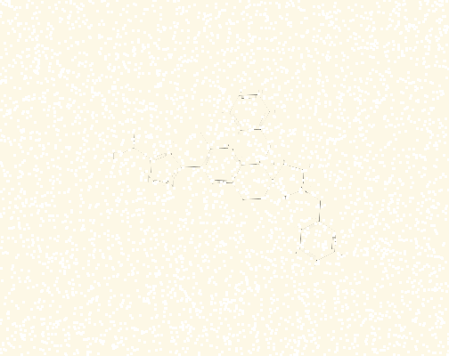 Cc1nc2c(cc1-c1n[nH]c(C(F)F)n1)CCC1(CCN(Cc3ccccc3)C1)N2Cc1ccccc1